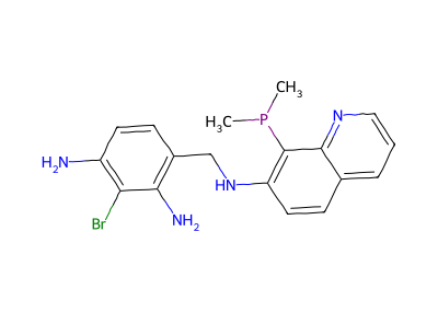 CP(C)c1c(NCc2ccc(N)c(Br)c2N)ccc2cccnc12